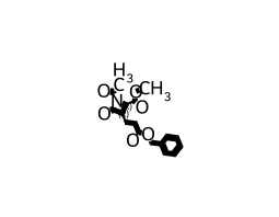 COC(=O)[C@H]1[C@@H](CCC(=O)OCc2ccccc2)C(=O)N1C(C)=O